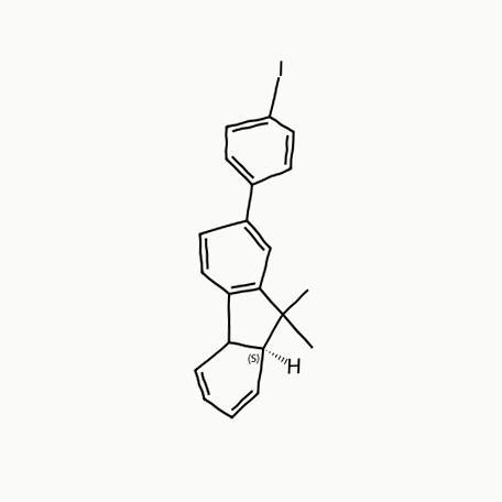 CC1(C)c2cc(-c3ccc(I)cc3)ccc2C2C=CC=C[C@@H]21